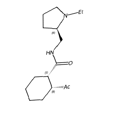 CCN1CCC[C@@H]1CNC(=O)[C@H]1CCCC[C@H]1C(C)=O